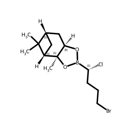 CC1(C)[C@@H]2C[C@H]3OB([C@H](Cl)CCCBr)O[C@@]3(C)[C@H]1C2